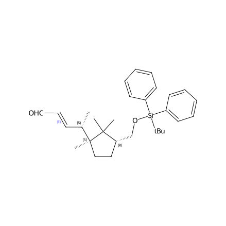 C[C@@H](/C=C/C=O)[C@]1(C)CC[C@@H](CO[Si](c2ccccc2)(c2ccccc2)C(C)(C)C)C1(C)C